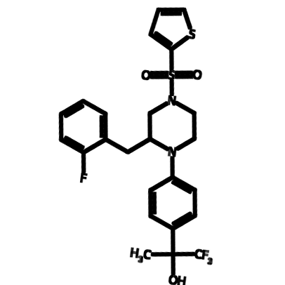 CC(O)(c1ccc(N2CCN(S(=O)(=O)c3cccs3)CC2Cc2ccccc2F)cc1)C(F)(F)F